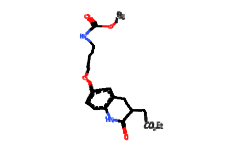 CCOC(=O)CC1Cc2cc(OCCCNC(=O)OC(C)(C)C)ccc2NC1=O